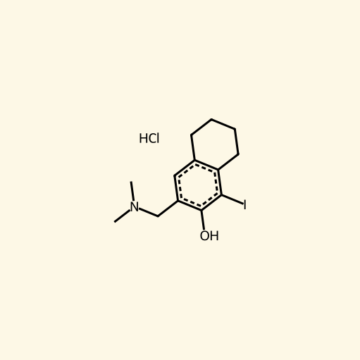 CN(C)Cc1cc2c(c(I)c1O)CCCC2.Cl